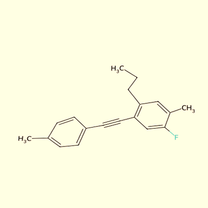 CCCc1cc(C)c(F)cc1C#Cc1ccc(C)cc1